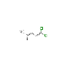 CC(C#N)=CC=C(Cl)Cl